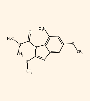 CN(C)C(=O)n1c(SC(F)(F)F)nc2cc(SC(F)(F)F)cc([N+](=O)[O-])c21